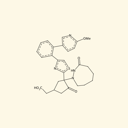 COc1ccc(-c2ccccc2-c2csc(C3(N4CCCCCC(=O)N4)CC(CC(=O)O)CC3=O)n2)cn1